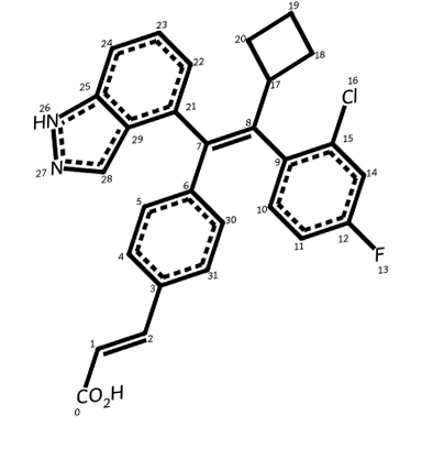 O=C(O)C=Cc1ccc(C(=C(c2ccc(F)cc2Cl)C2CCC2)c2cccc3[nH]ncc23)cc1